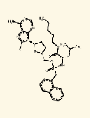 CCCCCOC(=O)[C@H](CC(C)C)NP(=O)(OC[C@@H]1CC[C@H](n2c(Cl)nc3c(N)ncnc32)O1)Oc1cccc2ccccc12